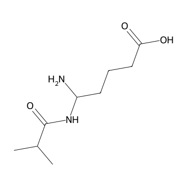 CC(C)C(=O)NC(N)CCCC(=O)O